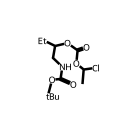 CCC(CNC(=O)OC(C)(C)C)OC(=O)OC(C)Cl